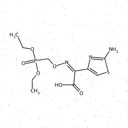 CCOP(=O)(CO/N=C(\C(=O)O)c1csc(N)n1)OCC